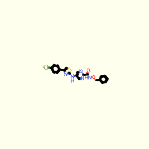 O=C(NOCc1ccccc1)c1ncc(Nc2nc(-c3ccc(Cl)cc3)cs2)cn1